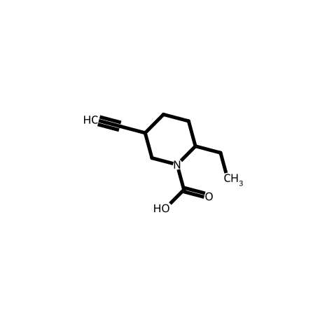 C#CC1CCC(CC)N(C(=O)O)C1